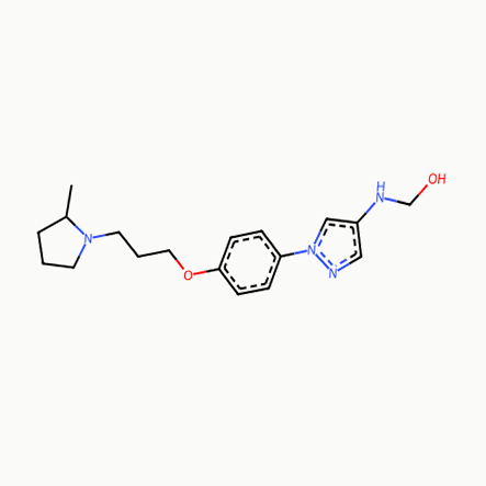 CC1CCCN1CCCOc1ccc(-n2cc(NCO)cn2)cc1